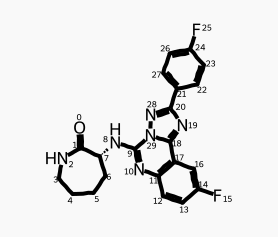 O=C1NCCCC[C@H]1Nc1nc2ccc(F)cc2c2nc(-c3ccc(F)cc3)nn12